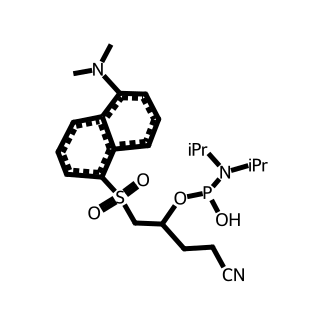 CC(C)N(C(C)C)P(O)OC(CCC#N)CS(=O)(=O)c1cccc2c(N(C)C)cccc12